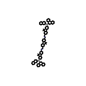 CC1(C)c2cc(/C=C/c3ccc4c(c3)C(C)(C)c3cc(N(c5ccc6ccccc6c5)c5cc6ccccc6c6ccccc56)ccc3-4)ccc2-c2ccc(/C=C/c3ccc4c(c3)C(C)(C)c3cc(N(c5ccc6ccccc6c5)c5cc6ccccc6c6ccccc56)ccc3-4)cc21